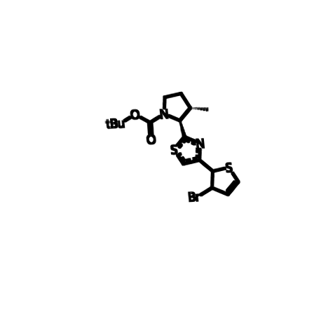 C[C@H]1CCN(C(=O)OC(C)(C)C)[C@@H]1c1nc(C2SC=CC2Br)cs1